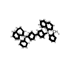 Cc1ccccc1N(c1ccc(-c2ccc(N(C3=CC=CCC3)C3=CCCc4ccccc43)cc2)cc1)c1cccc2ccccc12